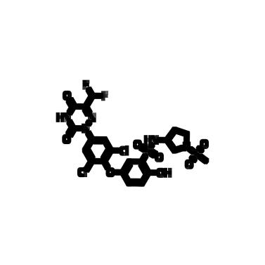 CS(=O)(=O)N1CCC(NS(=O)(=O)c2cc(Oc3c(Cl)cc(-n4nc(C(F)F)c(=O)[nH]c4=O)cc3Cl)ccc2O)C1